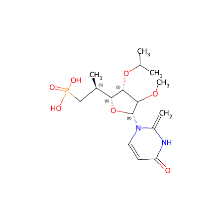 C=C1NC(=O)C=CN1[C@@H]1O[C@H]([C@H](C)CP(=O)(O)O)[C@H](OC(C)C)C1OC